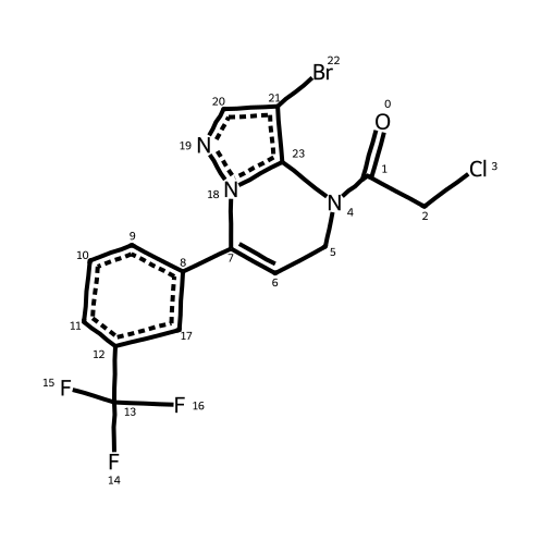 O=C(CCl)N1CC=C(c2cccc(C(F)(F)F)c2)n2ncc(Br)c21